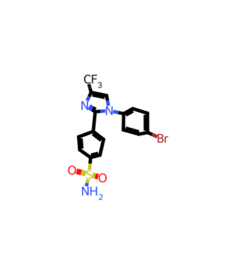 NS(=O)(=O)c1ccc(-c2nc(C(F)(F)F)cn2-c2ccc(Br)cc2)cc1